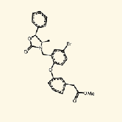 COC(=O)Cc1cccc(Oc2ccc(Br)cc2CN2C(=O)O[C@@H](c3ccccc3)[C@H]2C)c1